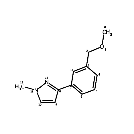 COCc1cccc(-c2ccn(C)n2)c1